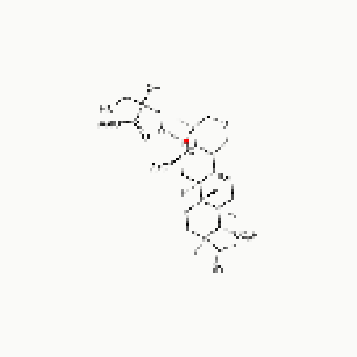 COC(=O)C(O)(CO)CO[C@H]1[C@H](OC(C)=O)C[C@@]23COC[C@@]1(C)[C@@H]2CC[C@H]1C3=CC[C@@]2(C)[C@H](C(=O)O)[C@@](C)([C@H](C)C(C)C)CC[C@]12C